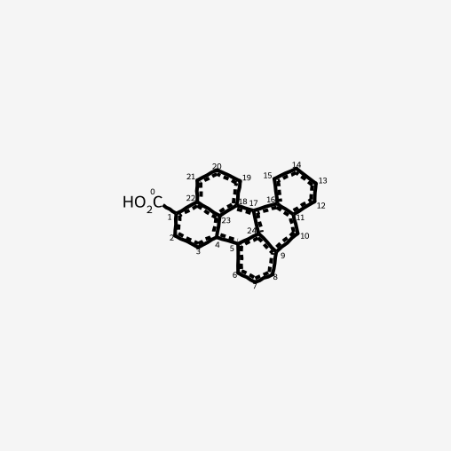 O=C(O)c1ccc2c3cccc4cc5ccccc5c(c5cccc1c25)c43